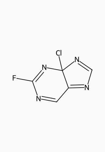 FC1=NC2(Cl)N=CN=C2C=N1